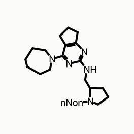 CCCCCCCCCN1CCCC1CNc1nc2c(c(N3CCCCCC3)n1)CCC2